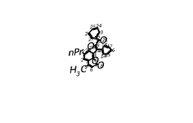 CCCc1cc2c(C)cc(=O)oc2c2c(-c3ccccc3)c(C(=O)c3ccccc3)oc12